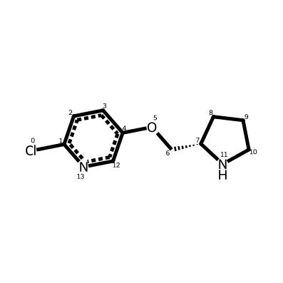 Clc1ccc(OC[C@@H]2CCCN2)cn1